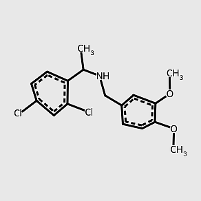 COc1ccc(CNC(C)c2ccc(Cl)cc2Cl)cc1OC